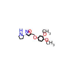 COc1ccc(OCc2cc([C@@H]3CCCN3)no2)cc1OC